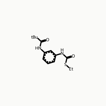 CCSC(=O)Nc1cccc(NC(=O)C(C)(C)C)c1